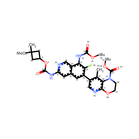 COC1(C)CC(OC(=O)Nc2cc3cc(-c4cnc5c(c4C)N(C(=O)OC(C)(C)C)CCO5)c(F)c(NC(=O)OC(C)(C)C)c3cn2)C1